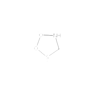 C1NOOS1